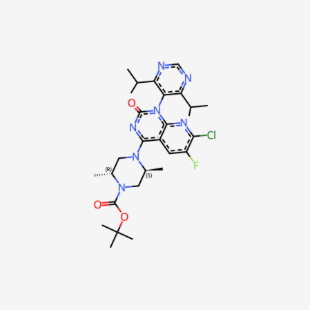 CC(C)c1ncnc(C(C)C)c1-n1c(=O)nc(N2C[C@@H](C)N(C(=O)OC(C)(C)C)C[C@@H]2C)c2cc(F)c(Cl)nc21